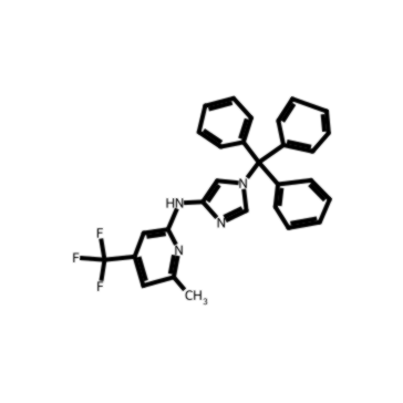 Cc1cc(C(F)(F)F)cc(Nc2cn(C(c3ccccc3)(c3ccccc3)c3ccccc3)cn2)n1